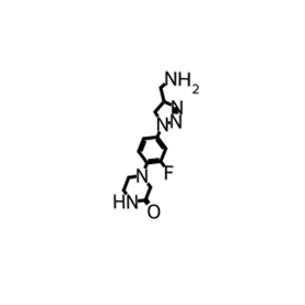 NCC1CN(c2ccc(N3CCNC(=O)C3)c(F)c2)N=N1